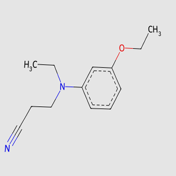 CCOc1cccc(N(CC)CCC#N)c1